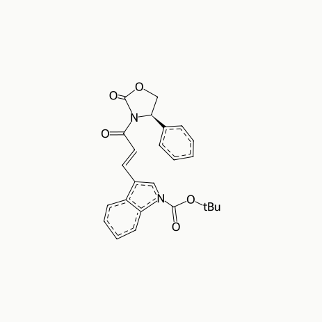 CC(C)(C)OC(=O)n1cc(/C=C/C(=O)N2C(=O)OC[C@H]2c2ccccc2)c2ccccc21